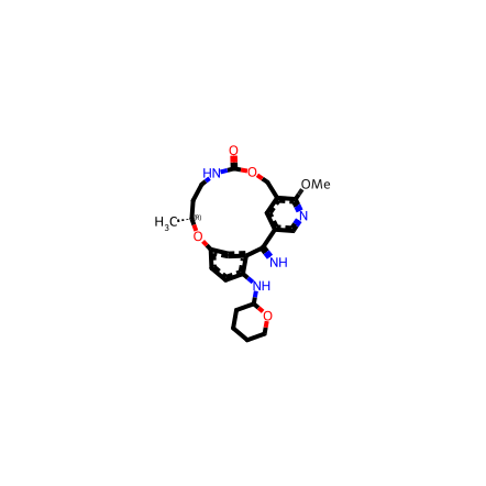 COc1ncc2cc1COC(=O)NCC[C@@H](C)Oc1ccc(NC3CCCCO3)c(c1)C2=N